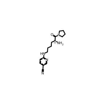 N#Cc1ccc(NCCCC[C@H](N)C(=O)N2CCCC2)nc1